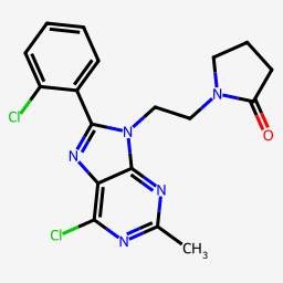 Cc1nc(Cl)c2nc(-c3ccccc3Cl)n(CCN3CCCC3=O)c2n1